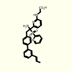 CC=Cc1cccc(-c2ccc(CC(N)(c3cccc(NCC(=O)O)n3)S(=O)(=O)c3ccccn3)cc2)c1